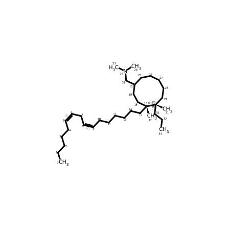 CCCCC/C=C\C/C=C\CCCCCC[C@]1(C)CCC(CN(C)C)CCCCC[C@]1(C)CCC